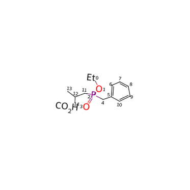 CCOP(=O)(Cc1ccccc1)CC(C)C(=O)O